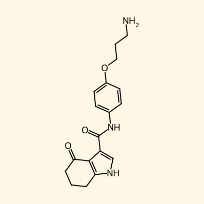 NCCCOc1ccc(NC(=O)c2c[nH]c3c2C(=O)CCC3)cc1